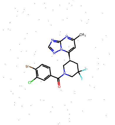 Cc1cc([C@@H]2CN(C(=O)c3ccc(Br)c(Cl)c3)CC(F)(F)C2)n2ncnc2n1